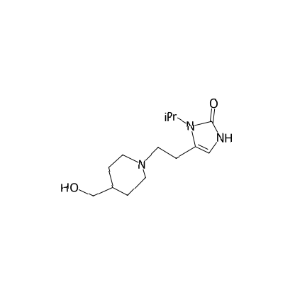 CC(C)n1c(CCN2CCC(CO)CC2)c[nH]c1=O